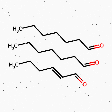 CCC/C=C/C=O.CCCCCCC=O.CCCCCCC=O